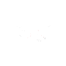 C=C[C@H](C)[C@H](O[Si](C)(C)C(C)(C)C)[C@@H](C)C(=O)C(C)(C)[C@@H](C)CC(=O)O[C@H]1CC=C(C(F)(F)F)CC=C1C